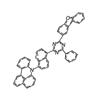 c1ccc(-c2nc(-c3ccc4oc5ccccc5c4c3)nc(-c3cccc4c(N5c6ccccc6-c6cccc7cccc5c67)cccc34)n2)cc1